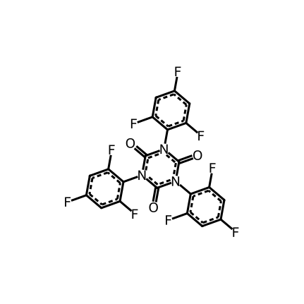 O=c1n(-c2c(F)cc(F)cc2F)c(=O)n(-c2c(F)cc(F)cc2F)c(=O)n1-c1c(F)cc(F)cc1F